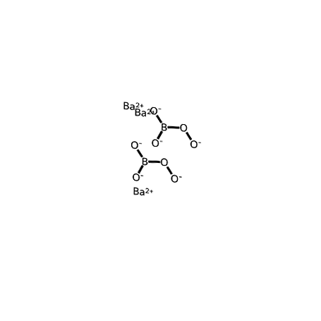 [Ba+2].[Ba+2].[Ba+2].[O-]OB([O-])[O-].[O-]OB([O-])[O-]